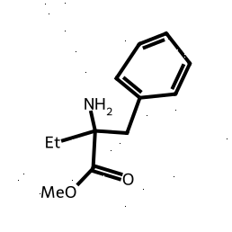 CCC(N)(Cc1ccccc1)C(=O)OC